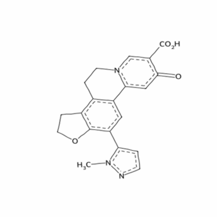 Cn1nccc1-c1cc2c(c3c1OCC3)CCn1cc(C(=O)O)c(=O)cc1-2